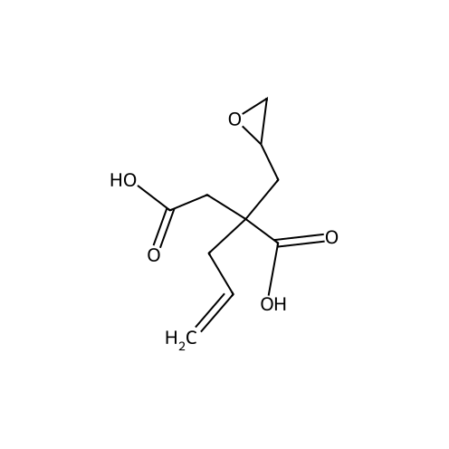 C=CCC(CC(=O)O)(CC1CO1)C(=O)O